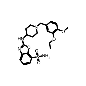 CCOc1cc(CN2CCC(Nc3nc4cccc(S(N)(=O)=O)c4o3)CC2)ccc1OC